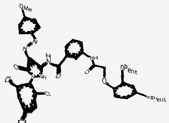 CCCCCc1ccc(OCC(=O)Nc2cccc(C(=O)Nc3[nH]n(-c4c(Cl)cc(Cl)cc4Cl)c(=O)c3N=Nc3ccc(OC)cc3)c2)c(CCCCC)c1